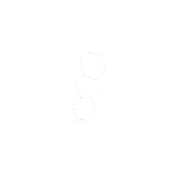 Clc1ncccc1NC1CCNCC1